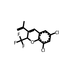 C=C(C)C1=Cc2cc(Cl)cc(Cl)c2OC1C(F)(F)F